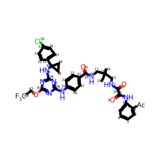 CC(=O)c1ccccc1NC(=O)C(=O)NCC(C)(C)CNC(=O)c1ccc(Nc2nc(NC3(c4ccc(Cl)cc4)CC3)nc(OCC(F)(F)F)n2)cc1